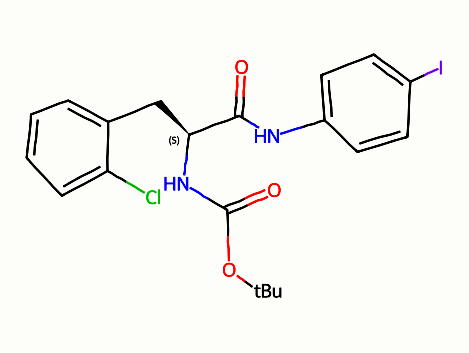 CC(C)(C)OC(=O)N[C@@H](Cc1ccccc1Cl)C(=O)Nc1ccc(I)cc1